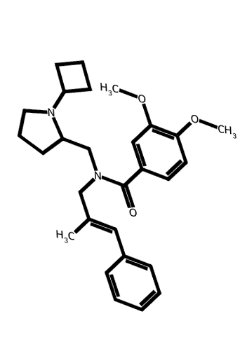 COc1ccc(C(=O)N(CC(C)=Cc2ccccc2)CC2CCCN2C2CCC2)cc1OC